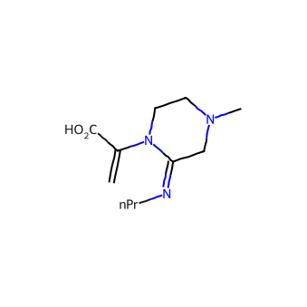 C=C(C(=O)O)N1CCN(C)C/C1=N/CCC